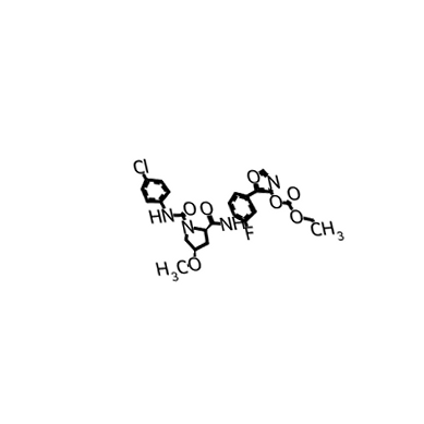 CCOC(=O)Oc1ncoc1-c1ccc(NC(=O)[C@H]2C[C@@H](OC)CN2C(=O)Nc2ccc(Cl)cc2)c(F)c1